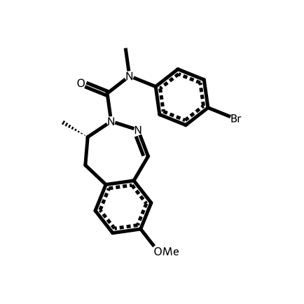 COc1ccc2c(c1)C=NN(C(=O)N(C)c1ccc(Br)cc1)[C@@H](C)C2